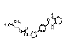 CN(C)CCOC(=O)NC1CCN(c2ccc(C(=O)Nc3ccccc3N)cc2)C1